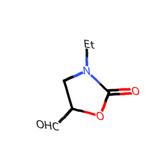 CCN1CC(C=O)OC1=O